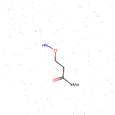 CNC(=O)CCO[NH]